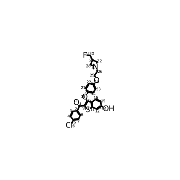 O=C(c1ccc(Cl)cc1)c1sc2cc(O)ccc2c1Oc1ccc(OCCN2CC(CF)C2)cc1